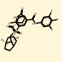 O=C1N[C@@H](C(=O)NC[C@@]2(O)C3CC[C@H]2C[C@H](S(=O)(=O)c2cc(C(=O)Nc4cc(F)c(F)c(F)c4)ccc2Cl)C3)CO1